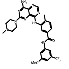 COc1cc(NC(=O)c2ccc(C)c(Nc3ncnc4c(N)nc(N5CCN(C)CC5)nc34)c2)cc(C(F)(F)F)c1